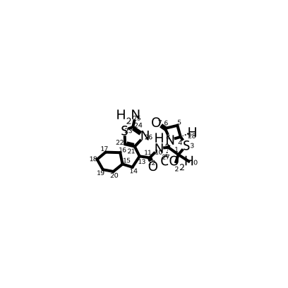 CC1(C)S[C@@H]2CC(=O)N2[C@@]1(NC(=O)C(CC1CCCCC1)c1csc(N)n1)C(=O)O